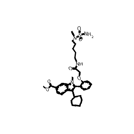 COC(=O)c1ccc2c(C3CCCCC3)c(-c3ccccc3OCC(=O)NCCCCCN(C)S(N)(=O)=O)n(C)c2c1